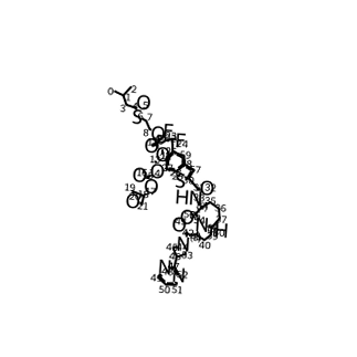 CC(C)CC(=O)SCCOP(=O)(OCOC(=O)OC1COC1)C(F)(F)c1ccc2sc(C(=O)N[C@H]3CCC[C@H]4CC[C@@H](C(=O)N5CC(c6ncccn6)C5)N4C3=O)cc2c1